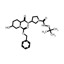 CC(C)(C)ONC(=O)N1CCC(NC(=O)C2CCC(O)CN2C(=O)OCc2ccccc2)C1